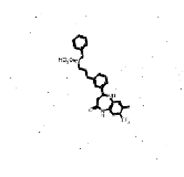 Cc1cc2c(cc1C(F)(F)F)NC(=O)CC(c1cccc(CCCN(Cc3ccccc3)C(=O)O)c1)N2